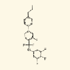 CCCc1ccc(-c2ccc(C(F)(F)Oc3cc(F)c(F)c(F)c3)c(F)c2)cc1